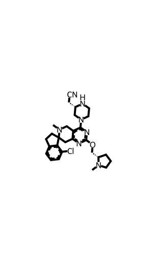 CN1CCC[C@H]1COc1nc2c(c(N3CCN[C@@H](CC#N)C3)n1)CN(C)C1(CCc3cccc(Cl)c31)C2